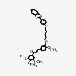 COc1ccc(/C=C/C(=O)c2cc(OC)c(OC)c(OC)c2)cc1OCCCCCOc1ccc(-c2nc3ccccc3s2)cc1